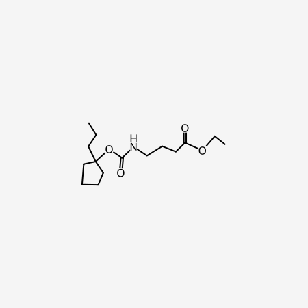 CCCC1(OC(=O)NCCCC(=O)OCC)CCCC1